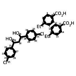 CCc1ccc(C(=O)O)cc1.CCc1ccc(C(=O)O)cc1.OC(CC(O)c1ccc(Cl)cc1)c1ccc(Cl)cc1